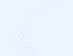 COc1cc2nn(C3CCC(N4CCN(C(=O)C5CN(c6cc(F)c([C@H]7CCC(=O)NC7=O)c(F)c6)C5)CC4)CC3)cc2cc1NC(=O)c1ccc2cc(C#N)cnn12